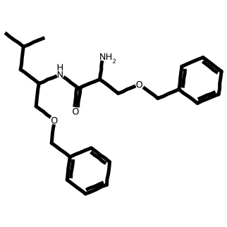 CC(C)CC(COCc1ccccc1)NC(=O)C(N)COCc1ccccc1